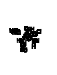 Cl.Cl.Cl.O=[N+]([O-])c1ccc(NCCN(CCC2CCCN2)c2ncc(-c3cnc[nH]3)c(-c3ccc(Cl)cc3Cl)n2)nc1